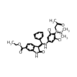 CCOC(=O)c1ccc2c(c1)NC(=O)/C2=C(\Nc1cc(Cl)c(N(CC(C)=O)N(C)C)c(Cl)c1)c1ccccc1